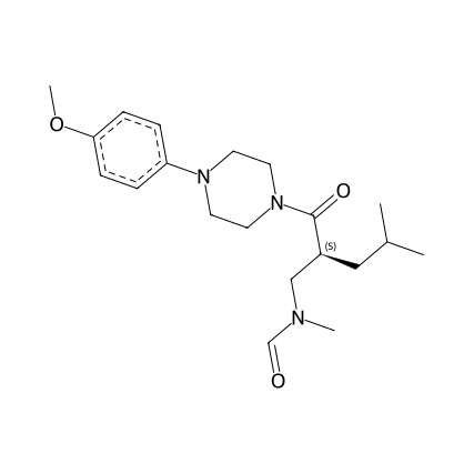 COc1ccc(N2CCN(C(=O)[C@@H](CC(C)C)CN(C)C=O)CC2)cc1